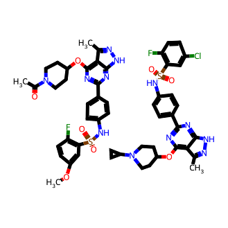 COc1ccc(F)c(S(=O)(=O)Nc2ccc(-c3nc(OC4CCN(C(C)=O)CC4)c4c(C)n[nH]c4n3)cc2)c1.Cc1n[nH]c2nc(-c3ccc(NS(=O)(=O)c4cc(Cl)ccc4F)cc3)nc(OC3CCN(C4CC4)CC3)c12